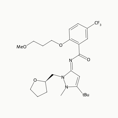 COCCCOc1ccc(C(F)(F)F)cc1C(=O)N=c1cc(C(C)(C)C)n(C)n1C[C@H]1CCCO1